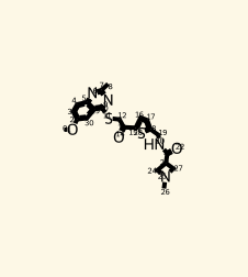 COc1ccc2nc(C)nc(SCC(=O)c3ccc(CNC(=O)C4CN(C)C4)s3)c2c1